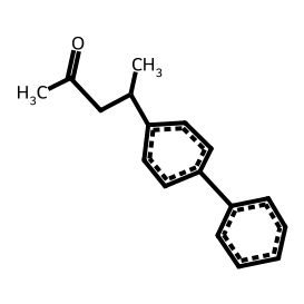 CC(=O)CC(C)c1ccc(-c2ccccc2)cc1